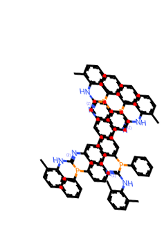 Cc1cccc(C)c1N/C(=N/c1cc(/N=C(/Nc2c(C)cccc2C)P(c2ccccc2)c2ccccc2)cc(-c2cc(/N=C(/Nc3c(C)cccc3C)P(c3ccccc3)c3ccccc3)cc(/N=C(/Nc3c(C)cccc3C)P(c3ccccc3)c3ccccc3)c2)c1)P(c1ccccc1)c1ccccc1